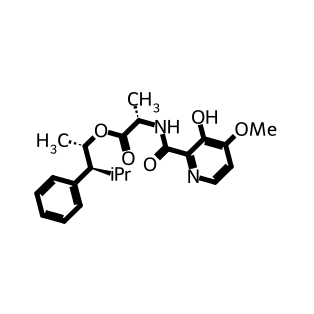 COc1ccnc(C(=O)N[C@@H](C)C(=O)O[C@@H](C)[C@H](c2ccccc2)C(C)C)c1O